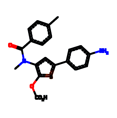 Cc1ccc(C(=O)N(C)c2cc(-c3ccc(N)cc3)sc2OC(=O)O)cc1